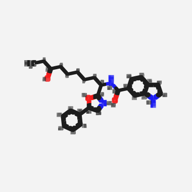 CCC(=O)CCCCCC(NC(=O)c1ccc2cc[nH]c2c1)c1ncc(-c2ccccc2)o1